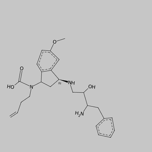 C=CCCN(C(=O)O)C1C[C@H](NCC(O)C(N)Cc2ccccc2)c2cc(OC)ccc21